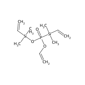 C=COP(=O)(O[Si](C)(C)C=C)[Si](C)(C)C=C